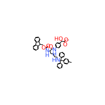 COC(=O)C(O)c1ccc(NC(=O)C(CCCCNC(c2ccccc2)(c2ccccc2)c2ccc(C)cc2)NC(=O)OCC2c3ccccc3-c3ccccc32)cc1